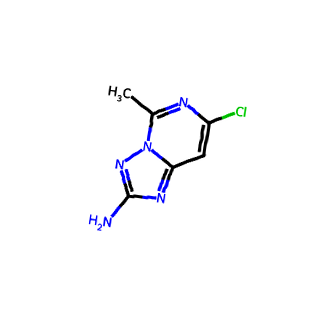 Cc1nc(Cl)cc2nc(N)nn12